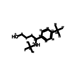 CC(C)(C)NC(CCCO)c1ccc(C(C)(C)C)cc1